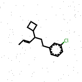 CC=CC(C[CH]c1cccc(Cl)c1)C1CCC1